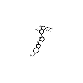 CN1CCc2ccc(Nc3nccc(-c4cc(C#N)c5c(c4)C(C)(CO)CN5)n3)cc2CC1